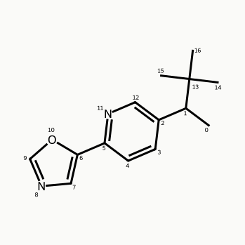 CC(c1ccc(-c2cnco2)nc1)C(C)(C)C